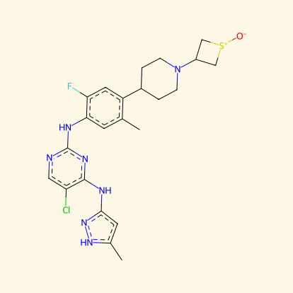 Cc1cc(Nc2nc(Nc3cc(C)c(C4CCN(C5C[S+]([O-])C5)CC4)cc3F)ncc2Cl)n[nH]1